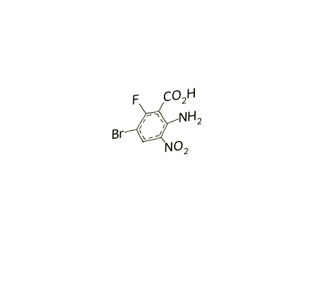 Nc1c([N+](=O)[O-])cc(Br)c(F)c1C(=O)O